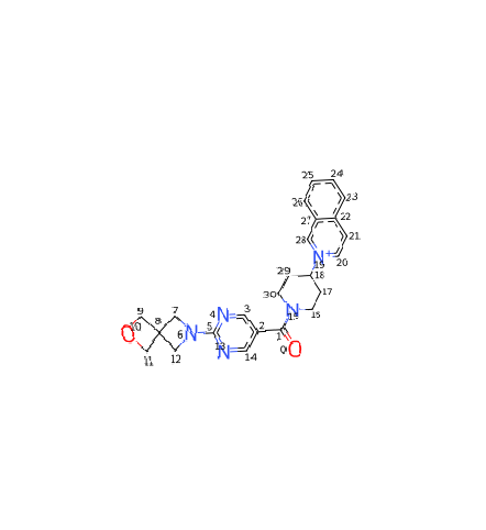 O=C(c1cnc(N2CC3(COC3)C2)nc1)N1CCC([n+]2ccc3ccccc3c2)CC1